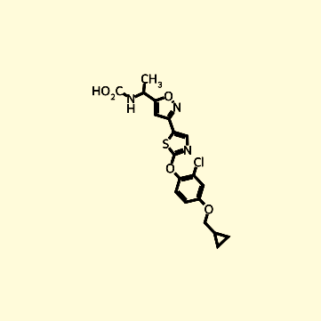 CC(NC(=O)O)c1cc(-c2cnc(Oc3ccc(OCC4CC4)cc3Cl)s2)no1